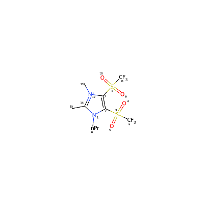 CCCn1c(S(=O)(=O)C(F)(F)F)c(S(=O)(=O)C(F)(F)F)[n+](C)c1C